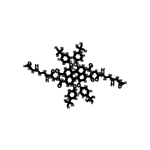 CC(C)(C)c1ccc(Oc2cc3c4c(cc(Oc5ccc(C(C)(C)C)cc5)c5c6c(Oc7ccc(C(C)(C)C)cc7)cc7c8c(cc(Oc9ccc(C(C)(C)C)cc9)c(c2c45)c86)C(=O)N(CC(=O)NCCNCC2CO2)C7=O)C(=O)N(CC(=O)NCCNCC2CO2)C3=O)cc1